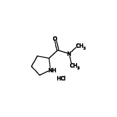 CN(C)C(=O)C1CCCN1.Cl